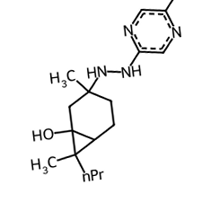 CCCC1(C)C2CCC(C)(NNc3cnc(Br)cn3)CC21O